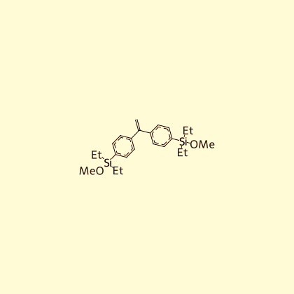 C=C(c1ccc([Si](CC)(CC)OC)cc1)c1ccc([Si](CC)(CC)OC)cc1